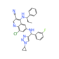 CC[C@@H](Nc1c(C#N)cnc2c(Cl)cc(N[C@@H](c3cccc(F)c3)c3cn(C4CC4)nn3)cc12)c1ccccc1